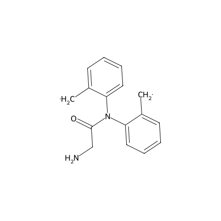 [CH2]c1ccccc1N(C(=O)CN)c1ccccc1[CH2]